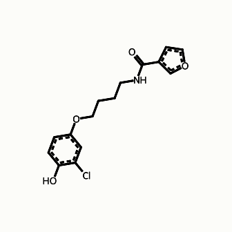 O=C(NCCCCOc1ccc(O)c(Cl)c1)c1ccoc1